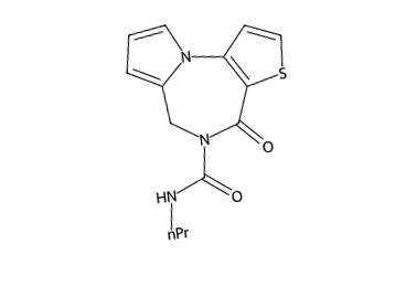 CCCNC(=O)N1Cc2cccn2-c2ccsc2C1=O